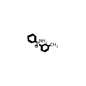 CC1C=CC=C(P(N)(=O)c2ccccc2)C1